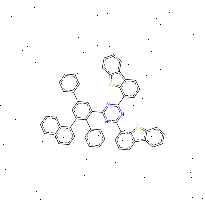 c1ccc(-c2cc(-c3nc(-c4cccc5c4sc4ccccc45)nc(-c4cccc5c4sc4ccccc45)n3)c(-c3ccccc3)c(-c3cccc4ccccc34)c2)cc1